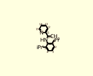 CC(C)c1cccc(C(C)C)c1NC(C)c1ccccn1